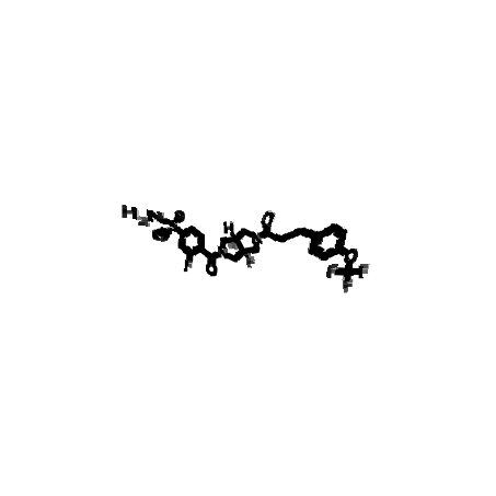 NS(=O)(=O)c1ccc(C(=O)N2C[C@@H]3CN(C(=O)CCc4ccc(OC(F)(F)F)cc4)C[C@@]3(F)C2)c(F)c1